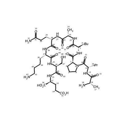 CC[C@H](C)[C@H](NC(=O)[C@@H]1CCCN1C(=O)[C@@H](NC(=O)[C@H](C)N)C(C)C)C(=O)N[C@@H](C)C(=O)N[C@@H](CCC(N)=O)C(=O)N[C@@H](CCCCN)C(=O)N[C@@H](CO)C(=O)N[C@@H](CCC(=O)O)C(=O)O